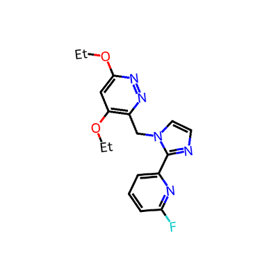 CCOc1cc(OCC)c(Cn2ccnc2-c2cccc(F)n2)nn1